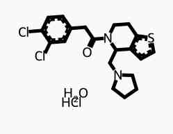 Cl.O.O=C(Cc1ccc(Cl)c(Cl)c1)N1CCc2sccc2C1CN1CCCC1